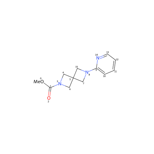 COC(=O)N1CC2(C1)CN(c1ccccn1)C2